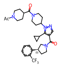 CC(=O)N1CCC(C(=O)N2CCC(n3ncc(C(=O)N4CC[C@@H](c5ccccc5C(F)(F)F)C4)c3C3CC3)CC2)CC1